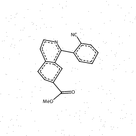 COC(=O)c1ccc2ccnc(-c3ccccc3C#N)c2c1